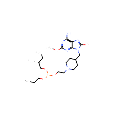 CCCCOc1nc(N)c2nc(O)n(CC3CCN(CCOP(OCCC#N)OC[C@@H](COC(C)=O)OC(C)=O)CC3)c2n1